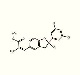 CCCCNC(=O)C(C)=Cc1ccc2c(c1)CC(c1cc(Cl)cc(Cl)c1)(C(F)(F)F)O2